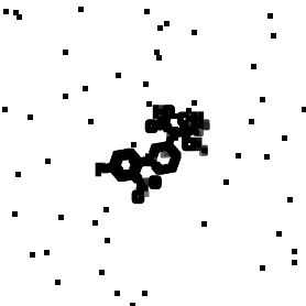 CC(C)(C)N(C(=O)O)[C@H]1CCCN(c2ccc(F)cc2[N+](=O)[O-])C1